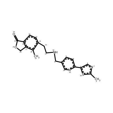 Cc1ncc(-c2ccc(CNCCc3ccc4c(c3C)COC4=O)cn2)s1